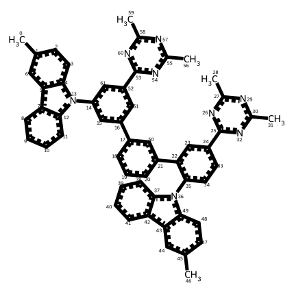 Cc1ccc2c(c1)c1ccccc1n2-c1cc(-c2cccc(-c3cc(-c4nc(C)nc(C)n4)ccc3-n3c4ccccc4c4cc(C)ccc43)c2)cc(-c2nc(C)nc(C)n2)c1